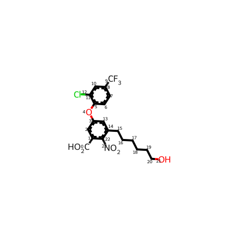 O=C(O)c1cc(Oc2ccc(C(F)(F)F)cc2Cl)cc(CCCCCCO)c1[N+](=O)[O-]